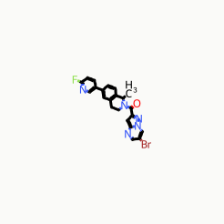 CC1c2ccc(-c3ccc(F)nc3)cc2CCN1C(=O)c1cc2ncc(Br)cn2n1